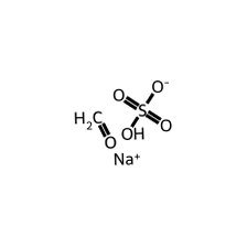 C=O.O=S(=O)([O-])O.[Na+]